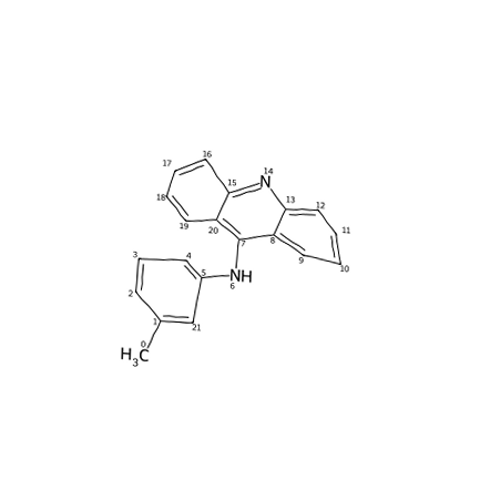 Cc1cccc(Nc2c3ccccc3nc3ccccc23)c1